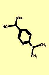 CCCCC(O)c1ccc(N(C)C)cc1